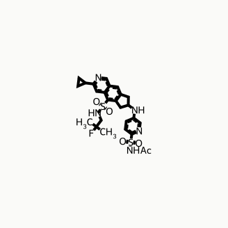 CC(=O)NS(=O)(=O)c1ccc(NC2Cc3cc4cnc(C5CC5)cc4c(S(=O)(=O)NCC(C)(C)F)c3C2)cn1